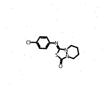 O=c1sc(=Nc2ccc(Cl)cc2)n2n1CCCC2